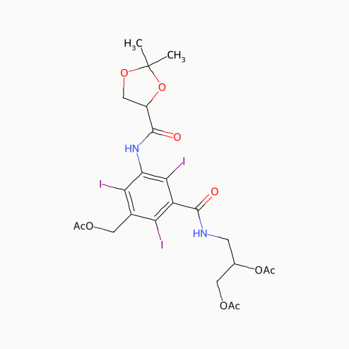 CC(=O)OCc1c(I)c(NC(=O)C2COC(C)(C)O2)c(I)c(C(=O)NCC(COC(C)=O)OC(C)=O)c1I